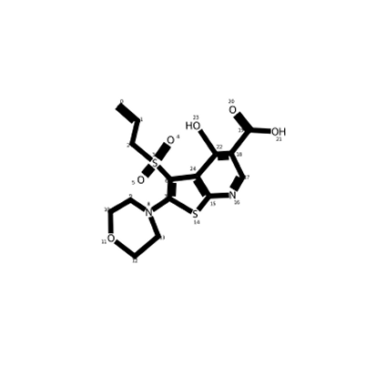 C=CCS(=O)(=O)c1c(N2CCOCC2)sc2ncc(C(=O)O)c(O)c12